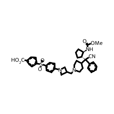 COC(=O)N[C@@H]1CCC[C@H]1C(C#N)(c1ccccc1)C1CCN(CC2CN(c3ccc(S(=O)(=O)c4ccc(C(=O)O)cc4)cc3)C2)CC1